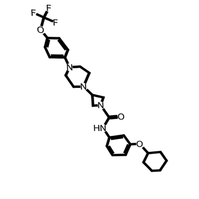 O=C(Nc1cccc(OC2CCCCC2)c1)N1CC(N2CCN(c3ccc(OC(F)(F)F)cc3)CC2)C1